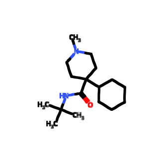 CN1CCC(C(=O)NC(C)(C)C)(C2CCCCC2)CC1